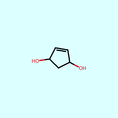 OC1C=CC(O)C1